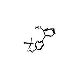 CC1(C)OCc2ccc(-c3ccccc3O)cc21